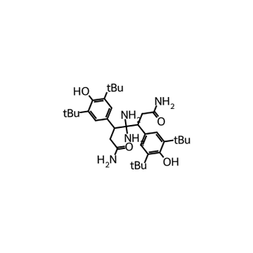 CC(C)(C)c1cc(C(CC(N)=O)C(N)(N)C(CC(N)=O)c2cc(C(C)(C)C)c(O)c(C(C)(C)C)c2)cc(C(C)(C)C)c1O